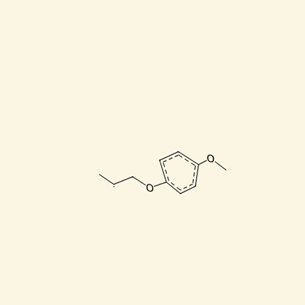 C[CH]COc1ccc(OC)cc1